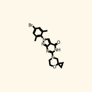 Cc1cc(Br)cc(C)c1-n1cc2c(=O)[nH]c(N3CCOC4(CC4)C3)nc2n1